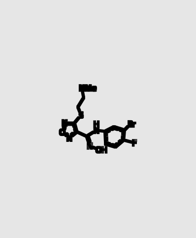 CNCCSc1nonc1/C(=N/O)Nc1ccc(F)c(Br)c1